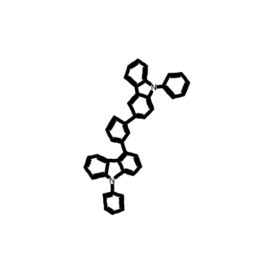 c1ccc(-n2c3ccccc3c3cc(-c4cccc(-c5cccc6c5c5ccccc5n6-c5ccccc5)c4)ccc32)cc1